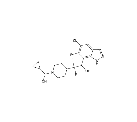 OC(C1CC1)N1CCC(C(F)(F)C(O)c2c(F)c(Cl)cc3cn[nH]c23)CC1